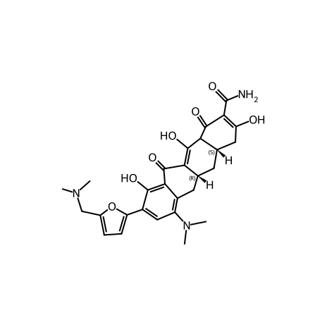 CN(C)Cc1ccc(-c2cc(N(C)C)c3c(c2O)C(=O)C2=C(O)C4C(=O)C(C(N)=O)=C(O)C[C@@H]4C[C@@H]2C3)o1